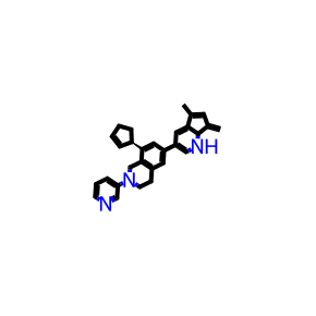 C=C1C=C(C)C2=CC(c3cc4c(c([C@H]5C=CCC5)c3)CN(c3cccnc3)CC4)=CNC12